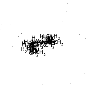 C=CC(=O)OCC(COC(=O)C=C)(COC(=O)C=C)OC(=O)NC1CC(C)(C)CC(C)(NC(=O)COC(=O)OCCOC(=O)NC2CC(C)(C)CC(C)(NC(=O)OC(COC(=O)C=C)(COC(=O)C=C)COC(=O)C=C)C2)C1